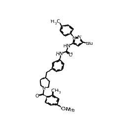 COc1ccc(C(=O)N2CCC(Cc3cccc(NC(=O)Nc4cc(C(C)(C)C)nn4-c4ccc(C)cc4)c3)CC2)c(C)c1